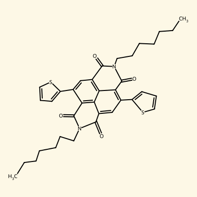 CCCCCCCN1C(=O)c2cc(-c3cccs3)c3c4c(cc(-c5cccs5)c(c24)C1=O)C(=O)N(CCCCCCC)C3=O